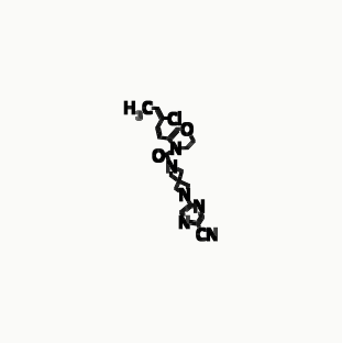 C/C=C(Cl)\C=C/C1=COCCN1C(=O)N1CC2(C1)CN(c1cnc(C#N)cn1)C2